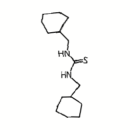 S=C(NCC1CCCCC1)NCC1CCCCC1